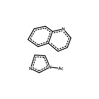 CC(=O)n1ccnc1.c1ccc2ncccc2c1